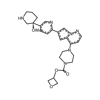 CO[C@]1(c2ccc(-c3cc4c(N5CCN(C(=O)OC6COC6)CC5)ccnn4c3)nc2)CCCNC1